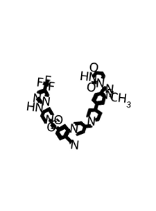 Cn1nc(N2CCC(=O)NC2=O)c2ccc(C3CCN(CC4CCN(c5cc(S(=O)(=O)N6CCC(Nc7ncc(C(F)(F)F)cn7)CC6)ccc5C#N)CC4)CC3)cc21